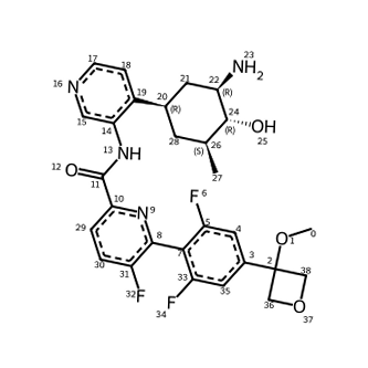 COC1(c2cc(F)c(-c3nc(C(=O)Nc4cnccc4[C@H]4C[C@@H](N)[C@H](O)[C@@H](C)C4)ccc3F)c(F)c2)COC1